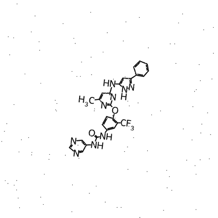 Cc1cc(Nc2cc(-c3ccccc3)n[nH]2)nc(Oc2ccc(NC(=O)Nc3cncnc3)cc2C(F)(F)F)n1